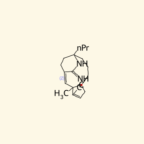 CCCC12CC/C(=C/C3(C)C4=CCC3C(CC4)CC1)C(=N)N2